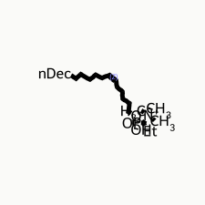 CCCCCCCCCCCCCCC/C=C\CCCCCOP(=O)(O)C(CC)[N+](C)(C)C